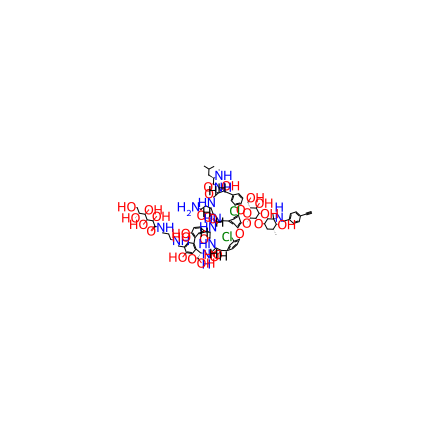 C#Cc1ccc(CNC2(C)C[C@H](O[C@@H]3C(O)C(O)[C@@H](CO)O[C@H]3Oc3c4cc5cc3Oc3ccc(cc3Cl)[C@@H](O)[C@@H](NC(=O)[C@@H](CC(C)C)NC)C(=O)N[C@@H](CC(N)=O)C(=O)N[C@H]5C(=O)N[C@@H]3C(=O)N[C@H](C(=O)N[C@H](C(=O)O)c5cc(O)c(CNCCCNC(=O)[C@H](O)[C@@H](O)[C@H](O)[C@H](O)CO)c(O)c5-c5cc3ccc5O)[C@H](O)c3ccc(c(Cl)c3)O4)C[C@@H](C)[C@H]2O)cc1